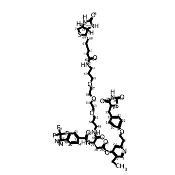 CCc1cnc(CCOc2ccc(CC3SC(=O)NC3=O)cc2)cc1OC(=O)C[C@@H](NC(=O)c1ccc(C2(C(F)(F)F)N=N2)cc1)C(=O)NCCCOCCOCCOCCCNC(=O)CCCC[C@@H]1SC[C@@H]2NC(=O)N[C@@H]21